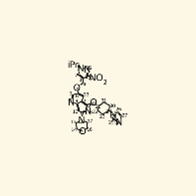 CC(C)n1cc(COc2cnc3cc(N4CCOCC4)nc(O[C@H]4CC[C@@H](n5ccnc5)CC4)c3c2)c([N+](=O)[O-])n1